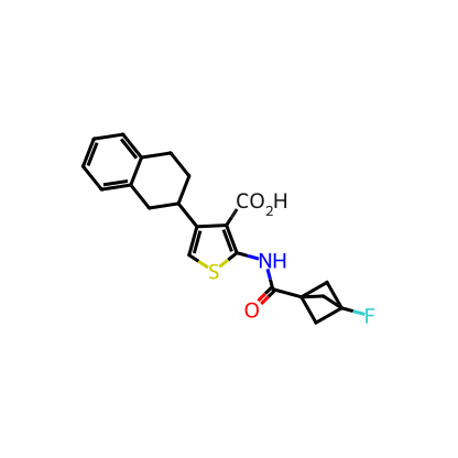 O=C(O)c1c(C2CCc3ccccc3C2)csc1NC(=O)C12CC(F)(C1)C2